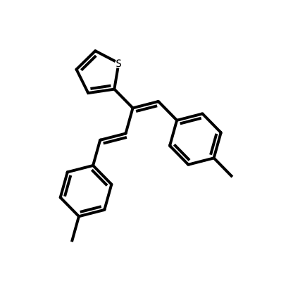 Cc1ccc(/C=C/C(=C\c2ccc(C)cc2)c2cccs2)cc1